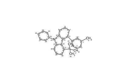 Cc1cccc(-c2cccc3c2c2c(C(C)(C)C)cccc2n3-c2ccccc2)c1